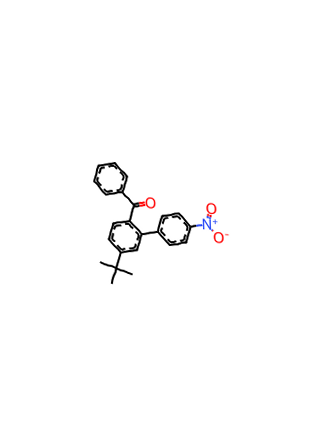 CC(C)(C)c1ccc(C(=O)c2ccccc2)c(-c2ccc([N+](=O)[O-])cc2)c1